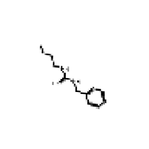 N=C(NCCCF)NCc1ccccc1